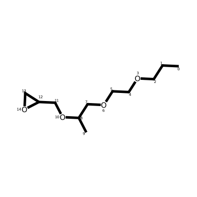 CCCOCCOCC(C)OCC1CO1